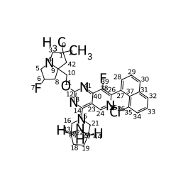 CC1(C)CN2CC(F)CC2(COc2nc(N3C[C@H]4CC[C@@H](C3)N4)c3cnc(-c4cccc5cccc(Cl)c45)c(F)c3n2)C1